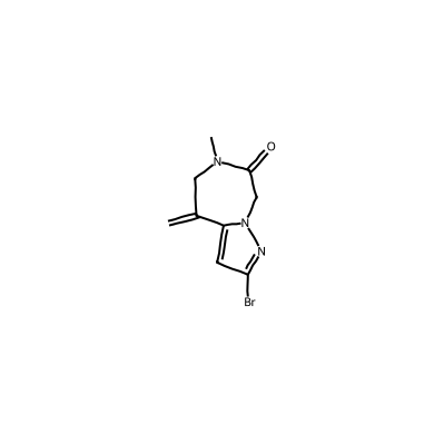 C=C1CN(C)C(=O)Cn2nc(Br)cc21